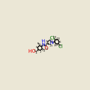 Cc1cc(CO)cc(C)c1NC(=O)[C@@H]1CCN(c2cc(Cl)ccc2Cl)C1